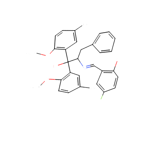 CCCCCCCCOc1ccc(C(C)(C)C)cc1C(O)(c1cc(C(C)(C)C)ccc1OCCCCCCCC)C(Cc1ccccc1)N=Cc1cc(F)ccc1O